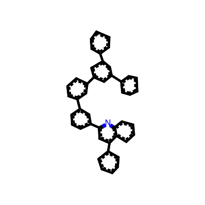 c1ccc(-c2cc(-c3ccccc3)cc(-c3cccc(-c4cccc(-c5cc(-c6ccccc6)c6ccccc6n5)c4)c3)c2)cc1